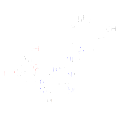 CCCCN(C=Nc1nc(N)c2c(Br)nn([C@@H]3C[C@H](O)[C@@H](CO)O3)c2n1)CCCC